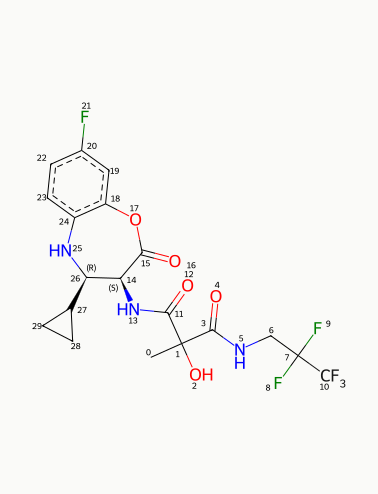 CC(O)(C(=O)NCC(F)(F)C(F)(F)F)C(=O)N[C@@H]1C(=O)Oc2cc(F)ccc2N[C@@H]1C1CC1